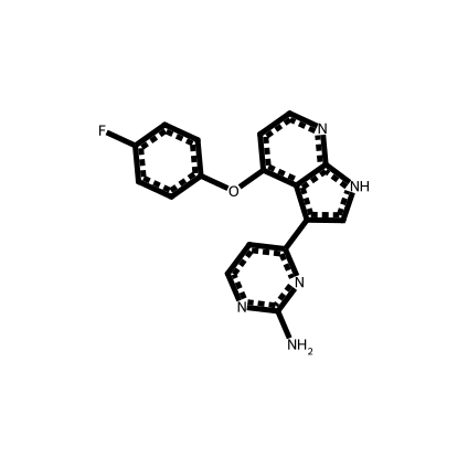 Nc1nccc(-c2c[nH]c3nccc(Oc4ccc(F)cc4)c23)n1